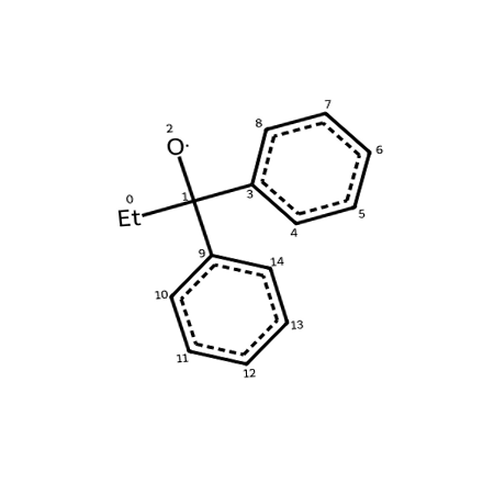 CCC([O])(c1ccccc1)c1ccccc1